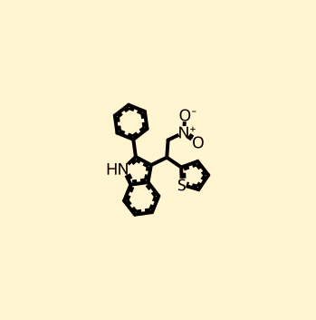 O=[N+]([O-])CC(c1cccs1)c1c(-c2ccccc2)[nH]c2ccccc12